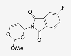 COC1OC=CC(N2C(=O)c3ccc(F)cc3C2=O)O1